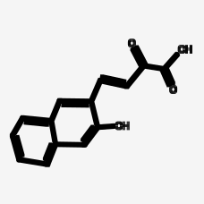 O=C(O)C(=O)C=Cc1cc2ccccc2cc1O